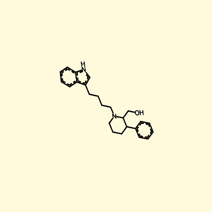 OCC1C(c2ccccc2)CCCN1CCCCc1c[nH]c2ccccc12